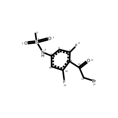 CS(=O)(=O)Nc1cc(F)c(C(=O)CBr)c(F)c1